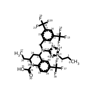 CCCn1nnc(N(Cc2cc(C(F)(F)F)cc(C(F)(F)F)c2)C2CC(CC)N(C(=O)O)c3ccc(C(F)(F)F)cc32)n1